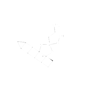 CCC[Si]1(OC)OC23C4C5CC5C4C2C2CC[C@@]23O1